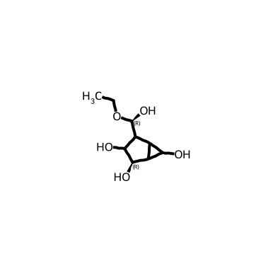 CCO[C@@H](O)C1C2C(O)C2[C@@H](O)C1O